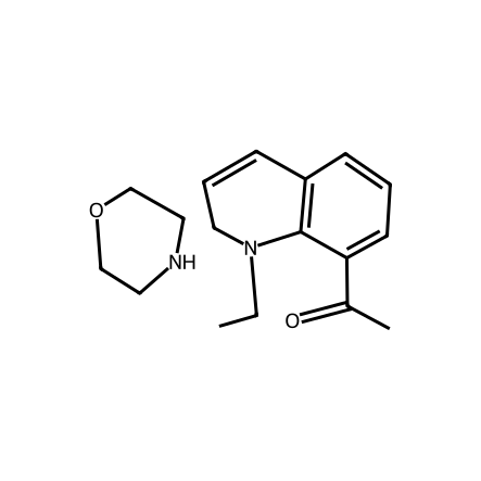 C1COCCN1.CCN1CC=Cc2cccc(C(C)=O)c21